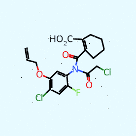 C=CCOc1cc(N(C(=O)CCl)C(=O)C2=C(C(=O)O)CCCC2)c(F)cc1Cl